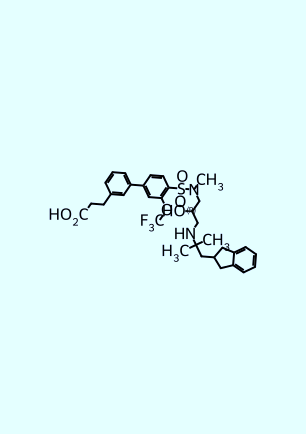 CN(C[C@H](O)CNC(C)(C)CC1Cc2ccccc2C1)S(=O)(=O)c1ccc(-c2cccc(CCC(=O)O)c2)cc1OC(F)(F)F